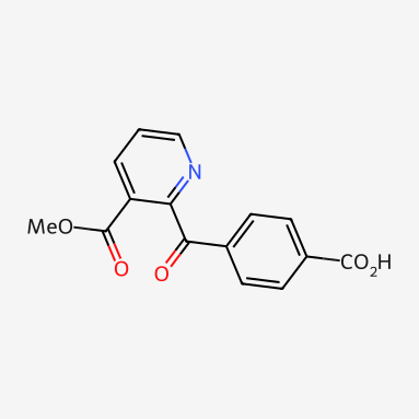 COC(=O)c1cccnc1C(=O)c1ccc(C(=O)O)cc1